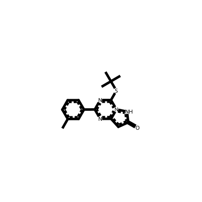 Cc1cccc(-c2nc(SC(C)(C)C)n3[nH]c(=O)cc3n2)c1